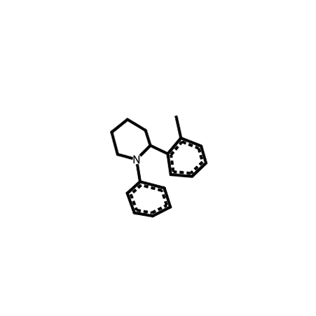 Cc1ccccc1C1CCCCN1c1ccccc1